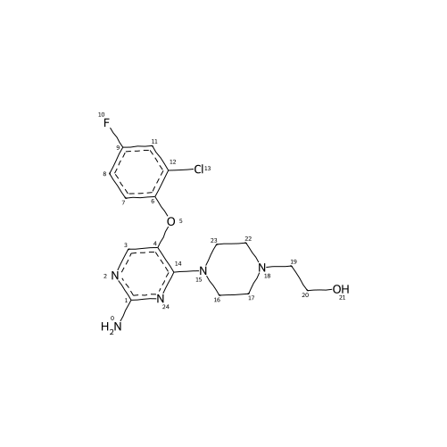 Nc1ncc(Oc2ccc(F)cc2Cl)c(N2CCN(CCO)CC2)n1